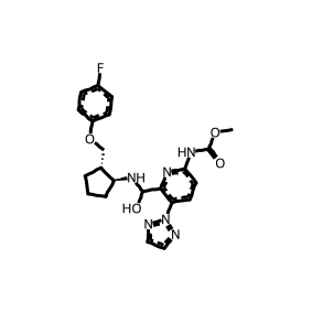 COC(=O)Nc1ccc(-n2nccn2)c(C(O)N[C@H]2CCC[C@@H]2COc2ccc(F)cc2)n1